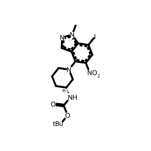 Cn1ncc2c(N3CCC[C@@H](NC(=O)OC(C)(C)C)C3)c([N+](=O)[O-])cc(I)c21